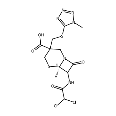 Cn1nnnc1SCC1(C(=O)O)CS[C@@H]2C(NC(=O)C(Cl)Cl)C(=O)N2C1